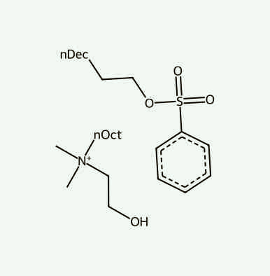 CCCCCCCCCCCCOS(=O)(=O)c1ccccc1.CCCCCCCC[N+](C)(C)CCO